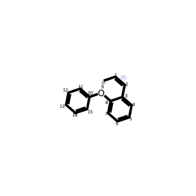 C/C=C\c1ccccc1Oc1ccccc1